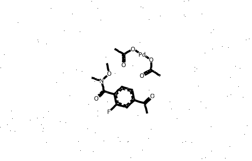 CC(=O)[O][Pd][O]C(C)=O.CON(C)C(=O)c1ccc(C(C)=O)cc1F